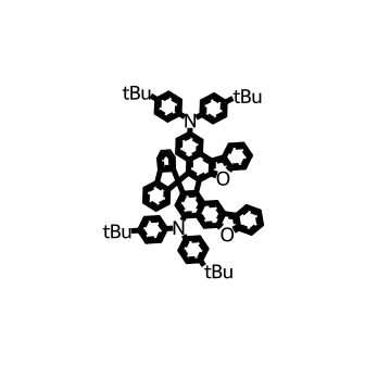 CC(C)(C)c1ccc(N(c2ccc(C(C)(C)C)cc2)c2ccc3c4c(c5oc6ccccc6c5c3c2)-c2c(cc(N(c3ccc(C(C)(C)C)cc3)c3ccc(C(C)(C)C)cc3)c3cc5oc6ccccc6c5cc23)C42c3ccccc3-c3ccccc32)cc1